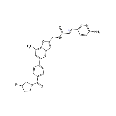 Nc1ccc(/C=C/C(=O)NCc2cc3cc(-c4ccc(C(=O)N5CCC(F)C5)cc4)cc(C(F)(F)F)c3o2)cn1